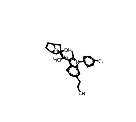 Cc1c(C(O)CN2C3CCC2CC(O)(C(C)C)C3)c2ccc(CCC#N)cc2n1-c1ccc(Cl)cc1